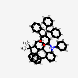 CC1(C)c2ccccc2-c2c(-c3c(-c4ccccc4)cccc3N(c3ccccc3)c3ccc4c(c3)[Si](c3ccccc3)(c3ccccc3)c3ccccc3-4)cccc21